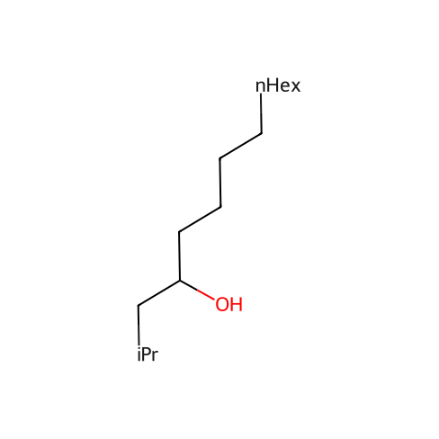 CCCCCCCCCCC(O)CC(C)C